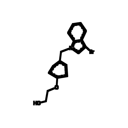 OCCOc1ccc(Cn2cc(Br)c3ccccc32)cc1